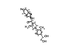 Cc1cc([C@H](O)CO)cnc1N1CCN(C(=O)Nc2nc3ccc(F)cc3s2)[C@H](C)C1